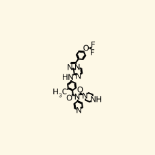 Cc1cc(Nc2nccn3c(-c4ccc(OC(F)F)cc4)cnc23)ccc1C(=O)N(C(=O)N1CCNCC1)c1ccncc1